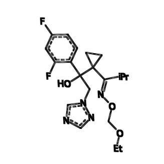 CCOCON=C(C(C)C)C1(C(O)(Cn2cncn2)c2ccc(F)cc2F)CC1